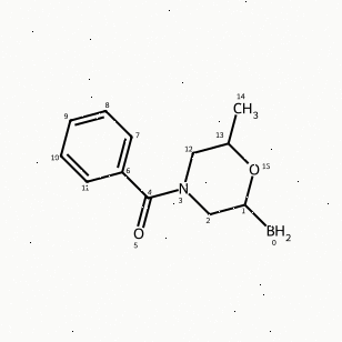 BC1CN(C(=O)c2ccccc2)CC(C)O1